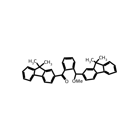 COC(c1ccc2c(c1)C(C)(C)c1ccccc1-2)c1ccccc1C(=O)c1ccc2c(c1)C(C)(C)c1ccccc1-2